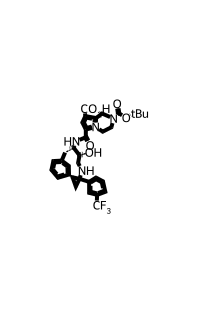 CC(C)(C)OC(=O)N1CCn2c(C(=O)N[C@@H](Cc3ccccc3)[C@H](O)CNC3(c4cccc(C(F)(F)F)c4)CC3)cc(C(=O)O)c2C1